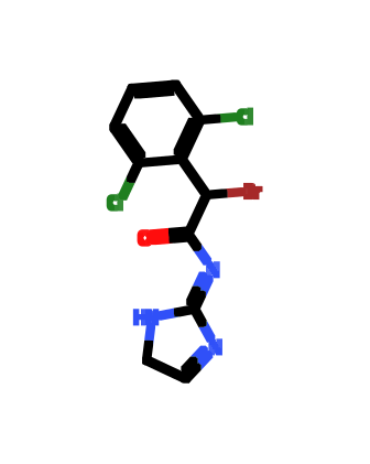 O=C(N=C1N=CCN1)C(Br)c1c(Cl)cccc1Cl